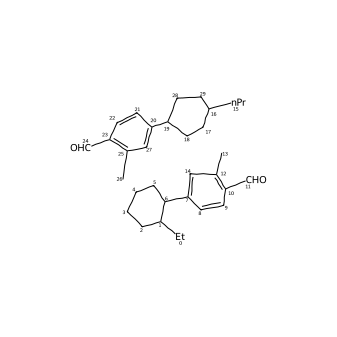 CCC1CCCCC1c1ccc(C=O)c(C)c1.CCCC1CCC(c2ccc(C=O)c(C)c2)CC1